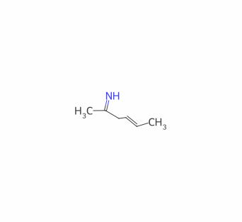 CC=CCC(C)=N